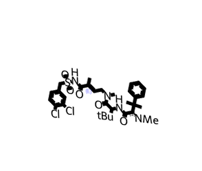 CN[C@H](C(=O)NC(C(=O)N(C)C/C=C(\C)C(=O)NS(=O)(=O)Cc1ccc(Cl)c(Cl)c1)C(C)(C)C)C(C)(C)c1ccccc1